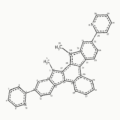 Cn1c2cc(-c3ccccn3)ccc2c2c3ccccc3c3c4ccc(-c5ccccn5)cc4n(C)c3c21